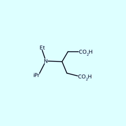 CCN(C(C)C)C(CC(=O)O)CC(=O)O